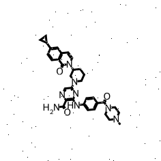 CN1CCN(C(=O)c2ccc(Nc3nc(N4CCCC(n5ccc6cc(C7CC7)ccc6c5=O)C4)cnc3C(N)=O)cc2)CC1